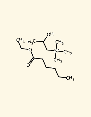 CC(O)C[N+](C)(C)C.CCCCCC(=O)OCC